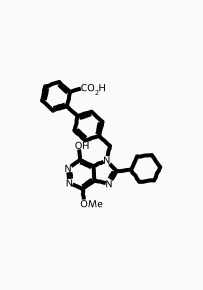 COc1nnc(O)c2c1nc(C1CCCCC1)n2Cc1ccc(-c2ccccc2C(=O)O)cc1